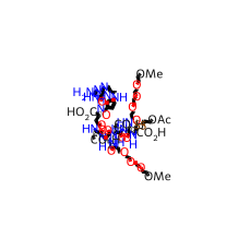 COCCOCCOCCOCCC(=O)NC[C@H](NC(=O)[C@H](CC(=O)O)NC(=O)[C@H](CNC(=O)CCOCCOCCOCCOC)NC(=O)[C@H](CC(=O)O)NC(=O)CC[C@H](NC(=O)c1ccc(NCc2cnc3nc(N)[nH]c(=O)c3n2)cc1)C(=O)O)C(=O)NC(CSSCCOC(C)=O)C(=O)O